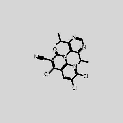 CC(C)c1ncnc(C(C)C)c1-n1c(=O)c(C#N)c(Cl)c2cc(Cl)c(Cl)nc21